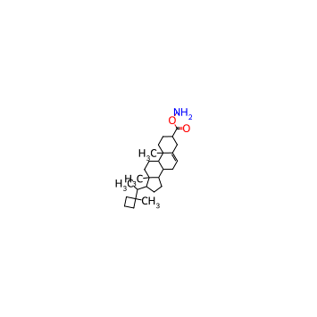 CC(C1CCC2C3CC=C4CC(C(=O)ON)CCC4(C)C3CCC21C)C1(C)CCC1